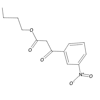 CCCCOC(=O)CC(=O)c1cccc([N+](=O)[O-])c1